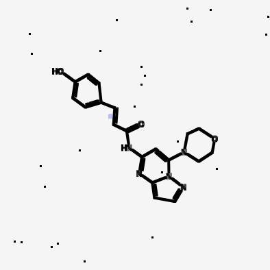 O=C(/C=C/c1ccc(O)cc1)Nc1cc(N2CCOCC2)n2nccc2n1